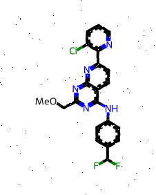 COCc1nc(Nc2ccc(C(F)F)cc2)c2ccc(-c3ncccc3Cl)nc2n1